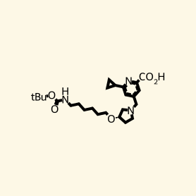 CC(C)(C)OC(=O)NCCCCCCO[C@H]1CCN(Cc2cc(C(=O)O)nc(C3CC3)c2)C1